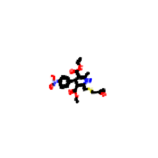 CCOC(=O)C1=C(C)NC(CSCC2CO2)=C(C(=O)OCC)C1c1ccc([N+](=O)[O-])cc1